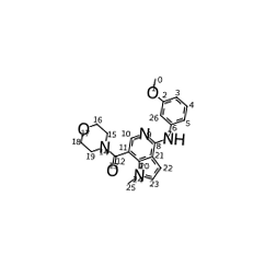 COc1cccc(Nc2ncc(C(=O)N3CCOCC3)c3c2ccn3C)c1